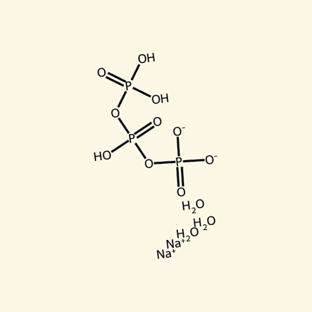 O.O.O.O=P([O-])([O-])OP(=O)(O)OP(=O)(O)O.[Na+].[Na+]